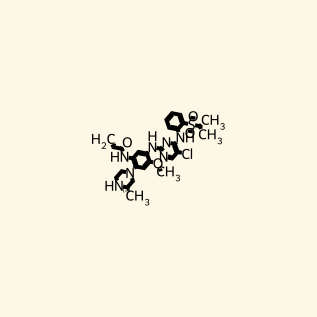 C=CC(=O)Nc1cc(Nc2ncc(Cl)c(Nc3ccccc3S(=O)(=O)C(C)C)n2)c(OC)cc1N1CCN[C@@H](C)C1